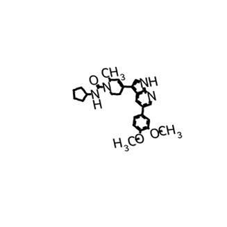 COc1ccc(-c2cnc3[nH]cc(C4=CC(C)N(C(=O)NC5CCCC5)CC4)c3c2)cc1OC